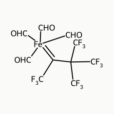 O=[CH][Fe]([CH]=O)([CH]=O)([CH]=O)=[C](C(F)(F)F)C(C(F)(F)F)(C(F)(F)F)C(F)(F)F